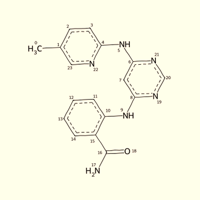 Cc1ccc(Nc2cc(Nc3ccccc3C(N)=O)ncn2)nc1